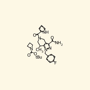 CC(C)(C)OC(=O)N1CCC1.CC1CN(C(=O)c2ccc[nH]2)Cc2c(C(N)=O)nn(Cc3ccc(F)cc3)c21